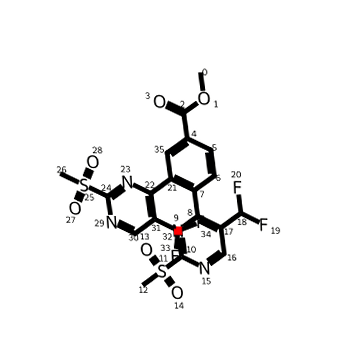 COC(=O)c1ccc(-c2nc(S(C)(=O)=O)ncc2C(F)F)c(-c2nc(S(C)(=O)=O)ncc2C(F)F)c1